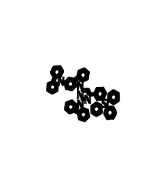 c1ccc([Si](c2ccccc2)(c2ccccc2)c2cccc(-c3cc(-n4c5ccccc5c5cc(-n6c7ccccc7c7ccccc76)ccc54)nc(-n4c5ccccc5c5ccccc54)n3)c2)cc1